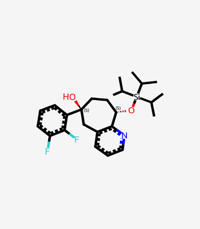 CC(C)[Si](O[C@H]1CC[C@@](O)(c2cccc(F)c2F)Cc2cccnc21)(C(C)C)C(C)C